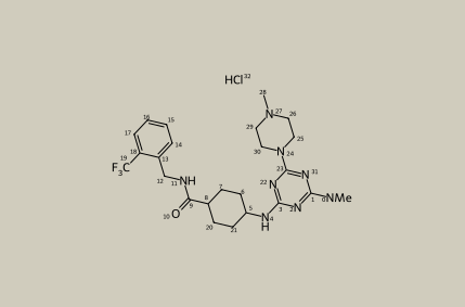 CNc1nc(NC2CCC(C(=O)NCc3ccccc3C(F)(F)F)CC2)nc(N2CCN(C)CC2)n1.Cl